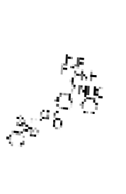 N=C(/C=C(\Nc1ccccc1Cl)c1ccc(C(=O)OCCS(=O)(=O)c2ccccc2)cc1)C(F)(F)F